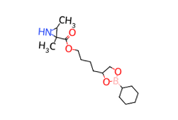 CC1NC1(C)C(=O)OCCCCC1COB(C2CCCCC2)O1